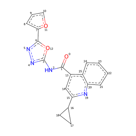 O=C(Nc1nnc(-c2ccco2)o1)c1cc(C2CC2)nc2ccccc12